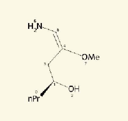 CCC[C@H](O)C/C(=C\N)OC